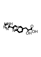 O=C(O)C(O)Cc1ccc2nc(-c3nnn[nH]3)cn2c1